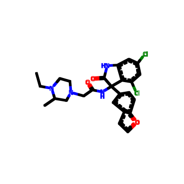 CCN1CCN(CC(=O)NC2(c3ccc4occc4c3)C(=O)Nc3cc(Cl)cc(Cl)c32)CC1C